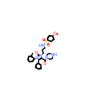 COc1ccc(S(=O)(=O)NCCCn2c(C(=O)N3CCNCC3)c(-c3ccccc3)n(-c3ccccc3C)c2=O)cc1